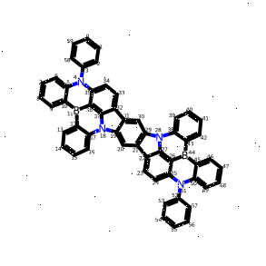 c1ccc(N2c3ccccc3B3c4ccccc4-n4c5cc6c7ccc8c9c7n(c6cc5c5ccc2c3c54)-c2ccccc2B9c2ccccc2N8c2ccccc2)cc1